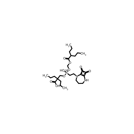 CCCC(CCC)C(=O)OCO[PH](O)(CCN1CCCNc2c1c(=O)c2=O)OCC(CCC)(CCC)C(=O)O